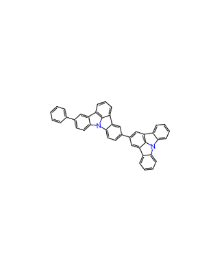 c1ccc(-c2ccc3c(c2)c2cccc4c5cc(-c6cc7c8ccccc8n8c9ccccc9c(c6)c78)ccc5n3c24)cc1